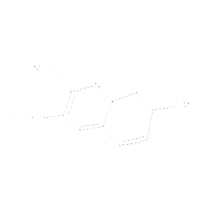 COc1ccc2cc(C=O)c(OC)nc2c1